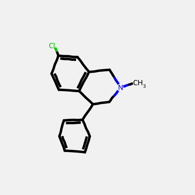 CN1Cc2cc(Cl)ccc2C(c2ccccc2)C1